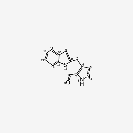 O=Cc1[nH]ncc1Cc1cc2ccccc2s1